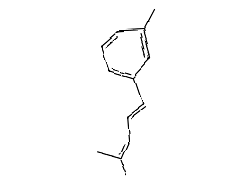 CC(C)=CC=Cc1cccc(C)c1